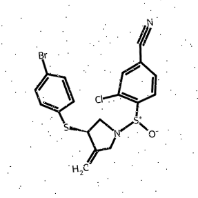 C=C1CN([S+]([O-])c2ccc(C#N)cc2Cl)C[C@@H]1Sc1ccc(Br)cc1